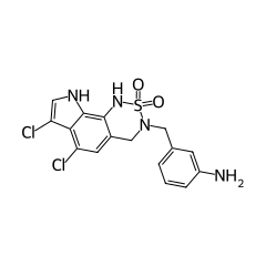 Nc1cccc(CN2Cc3cc(Cl)c4c(Cl)c[nH]c4c3NS2(=O)=O)c1